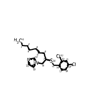 CCCCCCCC(Cn1ccnc1)SCc1ccc(Cl)cc1Cl